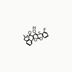 CC1Cc2cccc3c4oc(=O)c(Sc5ccccc5F)c(O)c4c(=O)n1c23